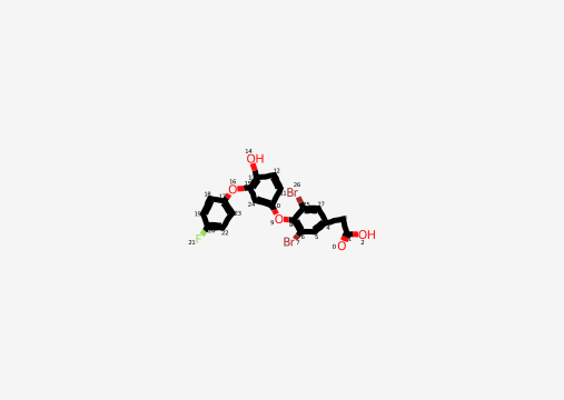 O=C(O)Cc1cc(Br)c(Oc2ccc(O)c(Oc3ccc(F)cc3)c2)c(Br)c1